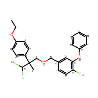 CCOc1ccc(C(C)(COCc2ccc(F)c(Oc3ccccc3)c2)C(F)F)cc1